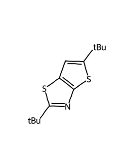 CC(C)(C)c1cc2sc(C(C)(C)C)nc2s1